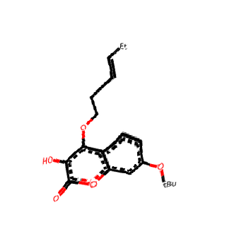 CC/C=C/CCOc1c(O)c(=O)oc2cc(OC(C)(C)C)ccc12